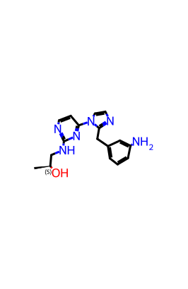 C[C@H](O)CNc1nccc(-n2ccnc2Cc2cccc(N)c2)n1